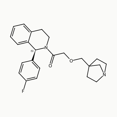 O=C(COCC12CCN(CC1)C2)N1CCc2ccccc2[C@@H]1c1ccc(F)cc1